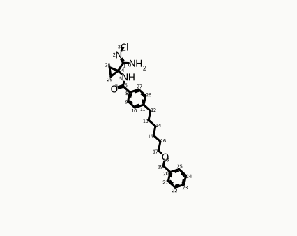 N/C(=N\Cl)C1(NC(=O)c2ccc(CCCCCCOCc3ccccc3)cc2)CC1